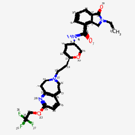 CCN1Cc2c(C(=O)N[C@H]3CC[C@H](CCN4CCc5ccc(OCC(F)(F)F)nc5CC4)OC3)cccc2C1=O